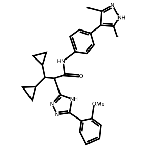 COc1ccccc1-c1nnc(C(C(=O)Nc2ccc(-c3c(C)n[nH]c3C)cc2)C(C2CC2)C2CC2)[nH]1